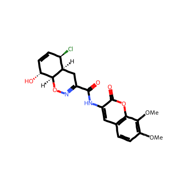 COc1ccc2cc(NC(=O)C3=NO[C@@H]4[C@H](C3)[C@H](Cl)C=C[C@H]4O)c(=O)oc2c1OC